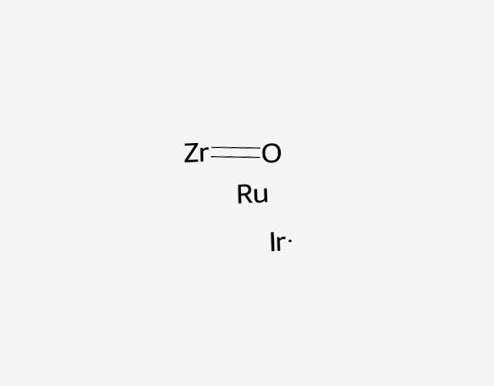 [Ir].[O]=[Zr].[Ru]